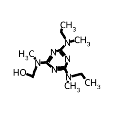 CCN(C)c1nc(N(C)CC)nc(N(C)CO)n1